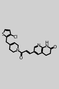 O=C1CCc2cc(/C=C/C(=O)N3CC=C(Cc4sccc4Cl)CC3)cnc2N1